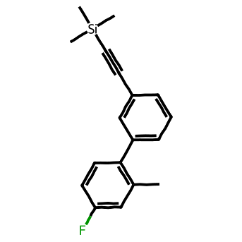 Cc1cc(F)ccc1-c1cccc(C#C[Si](C)(C)C)c1